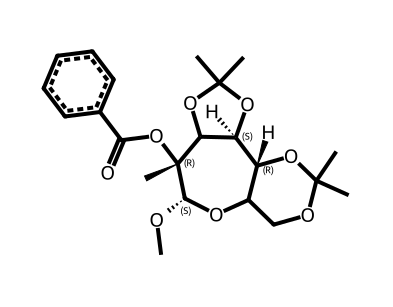 CO[C@H]1OC2COC(C)(C)O[C@H]2[C@@H]2OC(C)(C)OC2[C@@]1(C)OC(=O)c1ccccc1